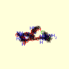 CC[C@H](C)[C@@H]([C@@H](CC(=O)N1CCC[C@H]1[C@H](OC)[C@@H](C)C(=O)N[C@H](C)[C@@H](O)c1ccccc1)OC)N(C)C(=O)[C@@H](NC[C@H](C(C)C)N(C)COCc1ccc(NC(=O)[C@H](CCCNC(N)=O)NC(=O)[C@@H](NC(=O)[C@H](C[S+]=O)NC(=O)CCOCCOCCOCCOCCC(=O)NCCNc2ncc(-c3cc(C)cc(F)c3)c(N3CCC(N)CC3)c2-c2nc3ccc(Cl)cc3[nH]2)C(C)C)cc1)C(C)C